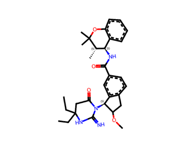 CCC1(CC)CC(=O)N([C@H]2c3cc(C(=O)N[C@@H]4c5ccccc5OC(C)(C)[C@H]4C)ccc3CC2OC)C(=N)N1